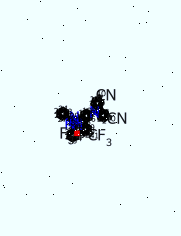 N#Cc1ccc2c(c1)c1cc(C#N)ccc1n2-c1ccc(-c2nc(-c3ccccc3)nc(-c3ccccc3)n2)c(-c2cc(C(F)(F)F)cc(C(F)(F)F)c2)c1